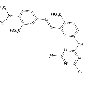 CN(C)c1ccc(N=Nc2cc(Nc3nc(N)nc(Cl)n3)ccc2S(=O)(=O)O)cc1S(=O)(=O)O